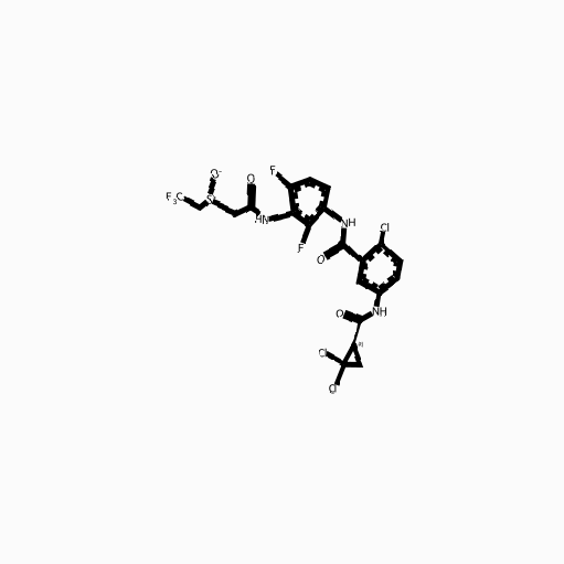 O=C(C[S+]([O-])CC(F)(F)F)Nc1c(F)ccc(NC(=O)c2cc(NC(=O)[C@H]3CC3(Cl)Cl)ccc2Cl)c1F